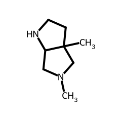 CN1CC2NCCC2(C)C1